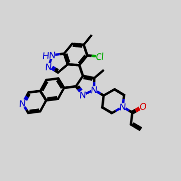 C=CC(=O)N1CCC(n2nc(-c3ccc4cnccc4c3)c(-c3c(Cl)c(C)cc4[nH]ncc34)c2C)CC1